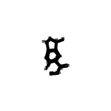 COC(=O)c1cc2c(cc1F)OCC2C